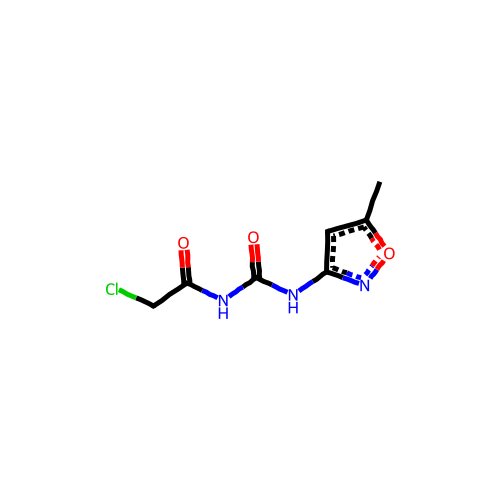 Cc1cc(NC(=O)NC(=O)CCl)no1